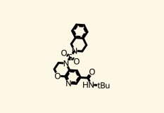 CC(C)(C)NC(=O)c1cnc2c(c1)N(S(=O)(=O)N1CCc3ccccc3C1)CCO2